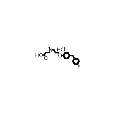 CN(CCCOc1ccc(Cc2ccc(F)cc2)cc1)CCC(=O)O.Cl